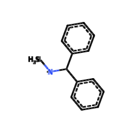 [SiH3][N]C(c1ccccc1)c1ccccc1